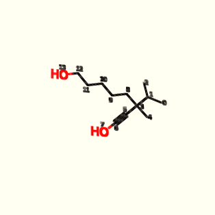 CC(C)C(C)(C#CO)CCCCCO